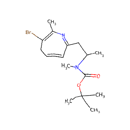 CC1=C(Br)CC=CC(CC(C)N(C)C(=O)OC(C)(C)C)=N1